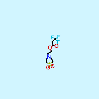 O=C(CC(F)(F)F)OCCN1CCS(=O)(=O)CC1